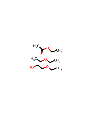 CCOC(C)=O.CCOCC.CCOCCO